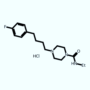 CCNC(=O)N1CCN(CCCCc2ccc(F)cc2)CC1.Cl